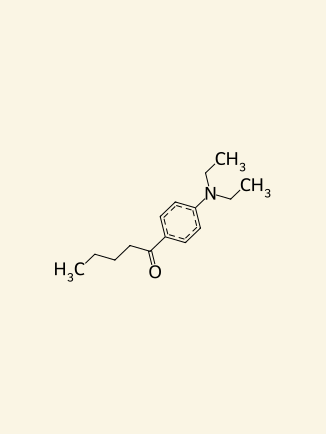 CCCCC(=O)c1ccc(N(CC)CC)cc1